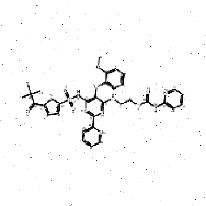 COc1ccccc1Oc1c(NS(=O)(=O)c2ccc(C(=O)C(C)(C)C)s2)nc(-c2ncccn2)nc1OCCOC(=O)Nc1ccccn1